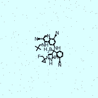 BC(Nc1cc(C#N)c2ncc(C#N)c(NCC(C)(C)C)c2c1)(C1=CN(C2(CF)CC2)NN1)c1cccc(C#N)c1